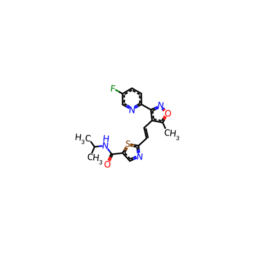 Cc1onc(-c2ccc(F)cn2)c1/C=C/c1ncc(C(=O)NC(C)C)s1